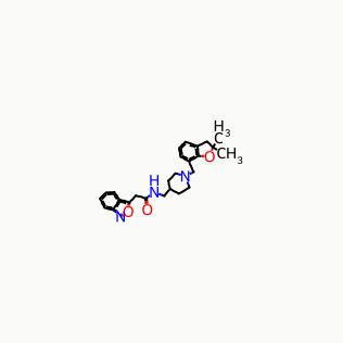 CC1(C)Cc2cccc(CN3CCC(CNC(=O)Cc4onc5ccccc45)CC3)c2O1